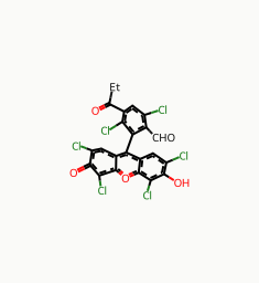 CCC(=O)c1cc(Cl)c(C=O)c(-c2c3cc(Cl)c(=O)c(Cl)c-3oc3c(Cl)c(O)c(Cl)cc23)c1Cl